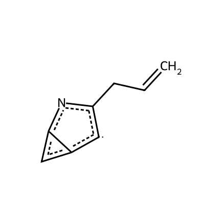 C=CCc1[c]c2cc-2n1